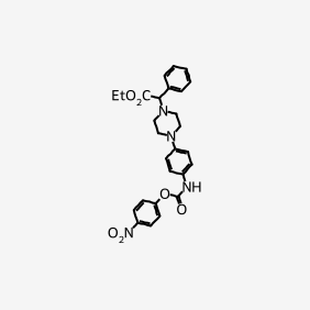 CCOC(=O)C(c1ccccc1)N1CCN(c2ccc(NC(=O)Oc3ccc([N+](=O)[O-])cc3)cc2)CC1